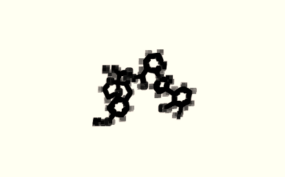 COc1ccc(CC(NC(=O)c2cccnc2-n2ccc(-c3cccc(F)c3Cl)n2)C2(C(N)=O)OCCO2)cc1